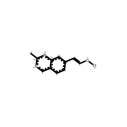 CCO/C=C/c1ccc2cnc(C)nc2c1